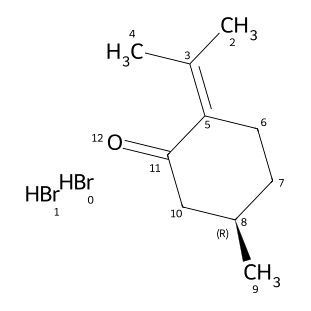 Br.Br.CC(C)=C1CC[C@@H](C)CC1=O